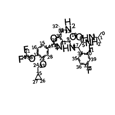 CC(C)NNC(=O)C(NC(=O)c1nc(-c2ccc(OC(F)F)c(OCC3CC3)c2)oc1[C@H](C)N)c1ccc(F)cc1F